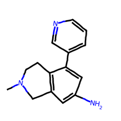 CN1CCc2c(cc(N)cc2-c2cccnc2)C1